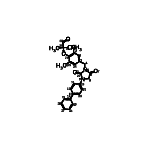 Cc1cc(CN2C(=O)CN(c3ccc(-c4ccccc4)cc3)C2=O)cc(C)c1OC(C)(C)C=O